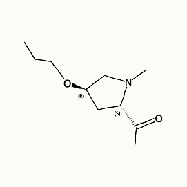 CCCO[C@@H]1C[C@@H](C(C)=O)N(C)C1